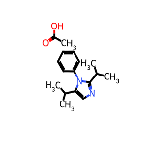 CC(=O)O.CC(C)c1cnc(C(C)C)n1-c1ccccc1